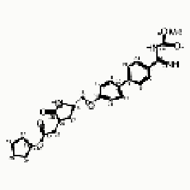 COC(=O)NC(=N)c1ccc(-c2ccc(OC[C@@H]3C[C@@H](CC(=O)OC4CCCC4)C(=O)N3)cc2)cc1